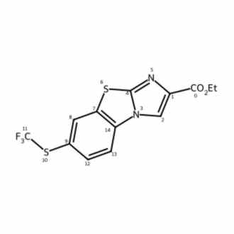 CCOC(=O)c1cn2c(n1)sc1cc(SC(F)(F)F)ccc12